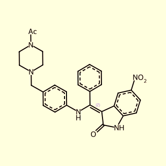 CC(=O)N1CCN(Cc2ccc(N/C(=C3\C(=O)Nc4ccc([N+](=O)[O-])cc43)c3ccccc3)cc2)CC1